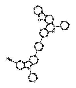 N#Cc1ccc2c(c1)c1cc(-c3ccc(-c4ccc5c(c4)nc(-c4ccccc4)c4ccc6c7ccccc7oc6c45)cc3)ccc1n2-c1ccccc1